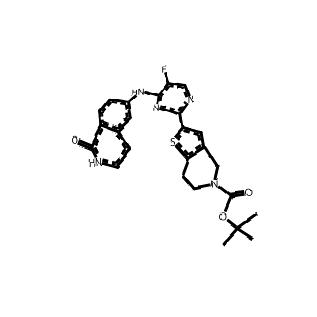 CC(C)(C)OC(=O)N1CCc2sc(-c3ncc(F)c(Nc4ccc5c(=O)[nH]ccc5c4)n3)cc2C1